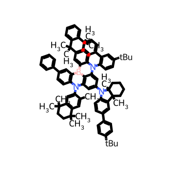 Cc1cc2c(cc1N1c3ccc(-c4ccccc4)cc3B3c4cc5c(cc4N(c4ccc(C(C)(C)C)cc4-c4ccccc4)c4cc(N6c7ccc(-c8ccc(C(C)(C)C)cc8)cc7C7(C)CCCCC67C)cc1c43)C(C)(C)c1ccccc1C5(C)C)C(C)(C)CCC2(C)C